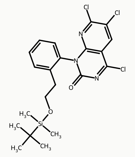 CC(C)(C)[Si](C)(C)OCCc1ccccc1-n1c(=O)nc(Cl)c2cc(Cl)c(Cl)nc21